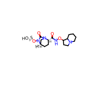 O=C(NOC1CCN2CCCCC12)[C@@H]1CC[C@@H]2CN1C(=O)N2OS(=O)(=O)O